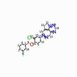 Fc1cccc(COc2ccc(N3CC4=C5C(=NC=NN5CC4)C=N3)cc2Cl)c1